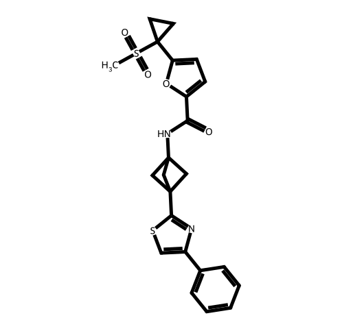 CS(=O)(=O)C1(c2ccc(C(=O)NC34CC(c5nc(-c6ccccc6)cs5)(C3)C4)o2)CC1